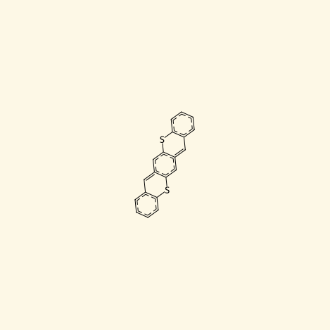 C1=c2cc3c(cc2Sc2ccccc21)=Cc1ccccc1S3